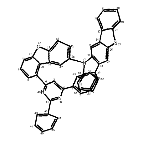 c1ccc(-c2cc(-c3cccc4oc5ccc(-n6c7ccccc7c7cc8sc9ccccc9c8cc76)cc5c34)nc(-c3ccccc3)n2)cc1